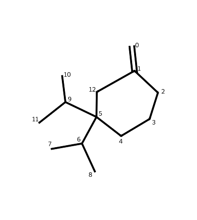 C=C1CCCC(C(C)C)(C(C)C)C1